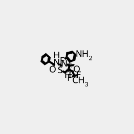 CC(F)(F)C1OC[C@]2(c3cc(N)ccc3F)N=C(NC(=O)c3ccccc3)SC[C@H]12